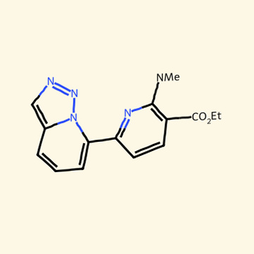 CCOC(=O)c1ccc(-c2cccc3cnnn23)nc1NC